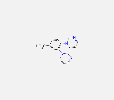 O=C(O)c1ccc(N2C=CC=NC2)c(N2C=CC=NC2)c1